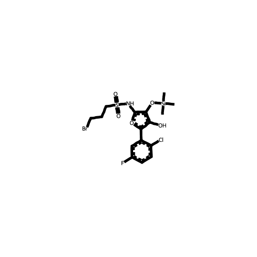 C[Si](C)(C)Oc1c(NS(=O)(=O)CCCBr)oc(-c2cc(F)ccc2Cl)c1O